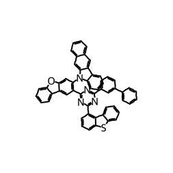 c1ccc(-c2cccc(-c3nc(-c4cc5c(cc4-n4c6ccccc6c6cc7ccccc7cc64)oc4ccccc45)nc(-c4cccc5sc6ccccc6c45)n3)c2)cc1